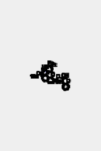 CCC1(CC)CC(=O)N([C@@H]2CCCc3ccc(C(=O)N[C@@H]4c5ccccc5OC[C@@]4(C)O)cc32)/C(=N\C(=O)OC(C)(C)C)N1